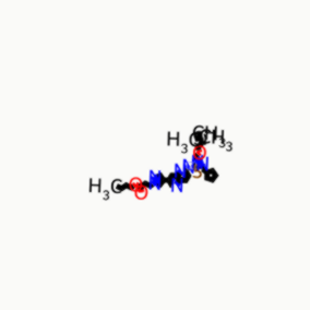 CCCCOC(=O)CCn1cc(-c2cnc3ccc(/N=c4\sc(C5CCCC5)nn4COCC[Si](C)(C)C)nc3c2)cn1